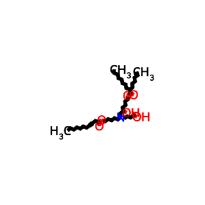 CCCCCCCC#CCC(=O)OCCCCCN(CCCCO)CC(O)CCCCOC(=O)C(CCCCCC)CCCCCCCC